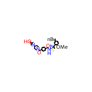 CCCCc1ccc(OC)c(-c2csc(NC(=O)c3ccc(C(=O)N4CCC(N5CC(O)C5)CC4)cc3)n2)c1